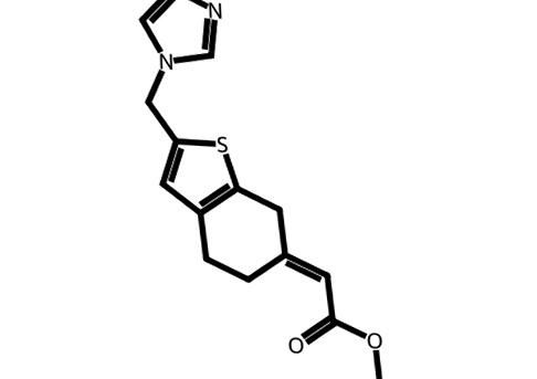 COC(=O)C=C1CCc2cc(Cn3ccnc3)sc2C1